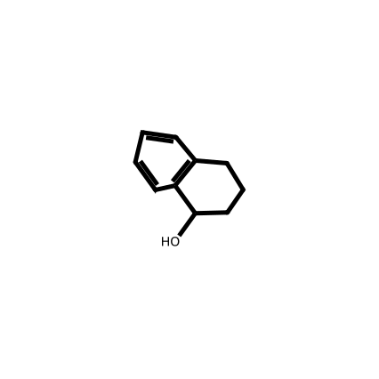 OC1CCCc2ccc[c]c21